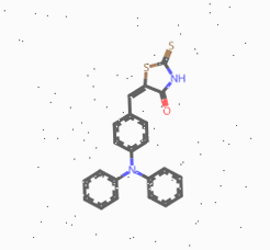 O=C1NC(=S)SC1=Cc1ccc(N(c2ccccc2)c2ccccc2)cc1